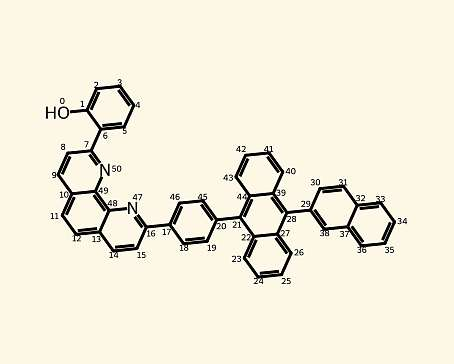 Oc1ccccc1-c1ccc2ccc3ccc(-c4ccc(-c5c6ccccc6c(-c6ccc7ccccc7c6)c6ccccc56)cc4)nc3c2n1